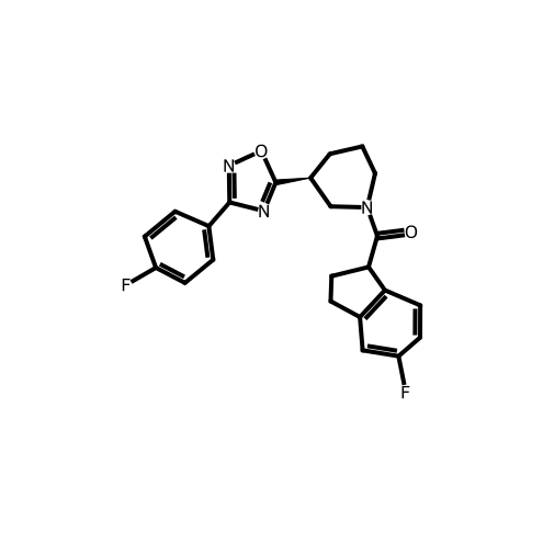 O=C(C1CCc2cc(F)ccc21)N1CCC[C@H](c2nc(-c3ccc(F)cc3)no2)C1